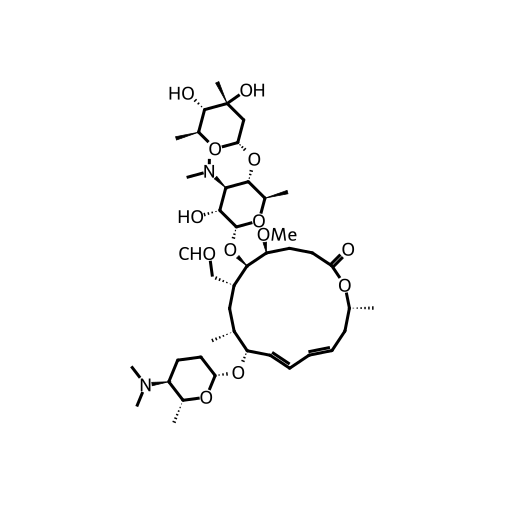 CO[C@H]1CCC(=O)O[C@H](C)C/C=C/C=C/[C@H](O[C@H]2CC[C@H](N(C)C)[C@@H](C)O2)[C@H](C)C[C@H](CC=O)[C@H]1O[C@H]1O[C@H](C)[C@@H](O[C@H]2C[C@@](C)(O)[C@@H](O)[C@H](C)O2)[C@H](N(C)C)[C@H]1O